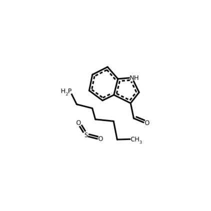 CCCCCCP.O=Cc1c[nH]c2ccccc12.O=S=O